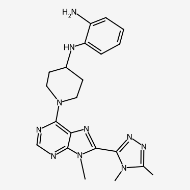 Cc1nnc(-c2nc3c(N4CCC(Nc5ccccc5N)CC4)ncnc3n2C)n1C